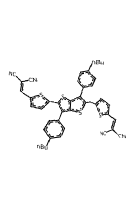 CCCCc1ccc(-c2c(-c3ccc(C=C(C#N)C#N)s3)sc3c(-c4ccc(CCCC)cc4)c(-c4ccc(C=C(C#N)C#N)s4)sc23)cc1